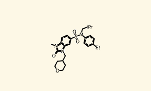 CCc1ccc(N(CC(C)C)S(=O)(=O)c2ccc3c(c2)n(CC2CCOCC2)c(=O)n3C)cc1